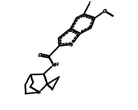 COc1cc2sc(C(=O)NC3C4CCN(CC4)C34CC4)cc2cc1F